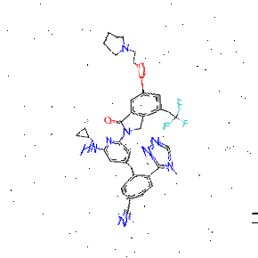 C[C@H]1C[C@@H]1Nc1cc(-c2cc(C#N)ccc2-c2nncn2C)cc(N2Cc3c(cc(OCCN4CCCC4)cc3C(F)(F)F)C2=O)n1